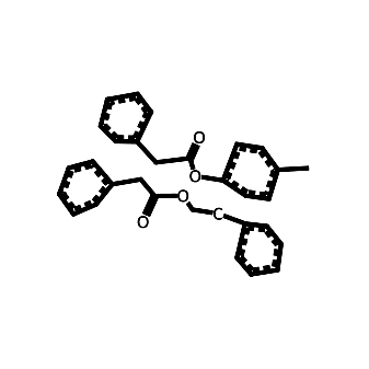 Cc1ccc(OC(=O)Cc2ccccc2)cc1.O=C(Cc1ccccc1)OCCc1ccccc1